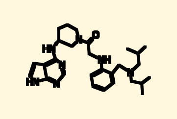 CC(C)CN(Cc1ccccc1NCC(=O)N1CCC[C@H](Nc2ncnc3[nH]ccc23)C1)CC(C)C